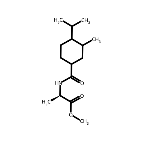 COC(=O)[C@@H](C)NC(=O)C1CCC(C(C)C)C(C)C1